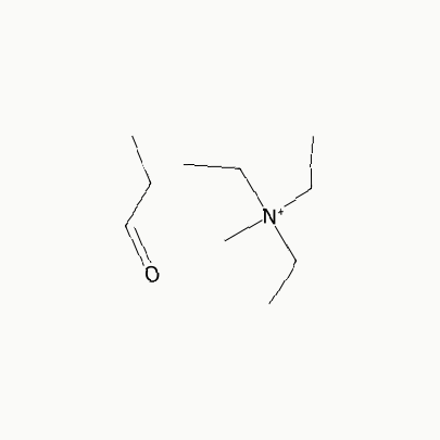 CCC=O.CC[N+](C)(CC)CC